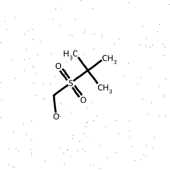 CC(C)(C)S(=O)(=O)C[O]